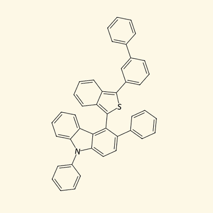 c1ccc(-c2cccc(-c3sc(-c4c(-c5ccccc5)ccc5c4c4ccccc4n5-c4ccccc4)c4ccccc34)c2)cc1